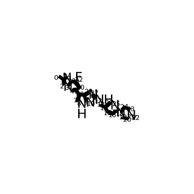 Cc1cn2cc(-c3c[nH]c4nc(NCc5ccc(N6CCN(C)CC6)nc5)ncc34)cc(F)c2n1